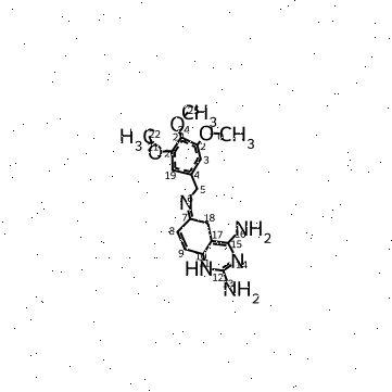 COc1cc(CN=C2C=CC3NC(N)=NC(N)=C3C2)cc(OC)c1OC